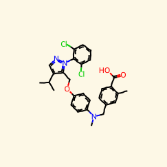 Cc1cc(CN(C)c2ccc(OCc3c(C(C)C)cnn3-c3c(Cl)cccc3Cl)cc2)ccc1C(=O)O